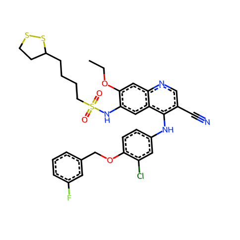 CCOc1cc2ncc(C#N)c(Nc3ccc(OCc4cccc(F)c4)c(Cl)c3)c2cc1NS(=O)(=O)CCCCC1CCSS1